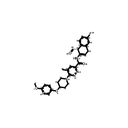 COc1ccc(OC2CCN(c3nnc(C(=O)NC4=CCc5cc(F)ccc5[C@H]4C=O)cc3C)CC2)cn1